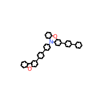 c1ccc(-c2ccc(-c3ccc4c(c3)Oc3ccccc3N4c3ccc(-c4ccc(-c5ccc6oc7ccccc7c6c5)cc4)cc3)cc2)cc1